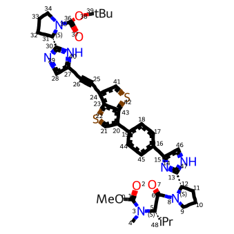 COC(=O)N(C)[C@H](C(=O)N1CCC[C@H]1c1nc(-c2ccc(-c3csc4c(C#Cc5cnc([C@@H]6CCCN6C(=O)OC(C)(C)C)[nH]5)csc34)cc2)c[nH]1)C(C)C